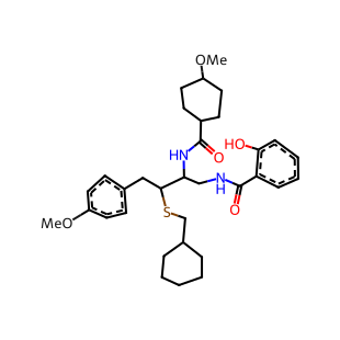 COc1ccc(CC(SCC2CCCCC2)C(CNC(=O)c2ccccc2O)NC(=O)C2CCC(OC)CC2)cc1